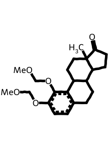 COCOc1ccc2c(c1OCOC)C1CCC3(C)C(=O)CCC3C1CC2